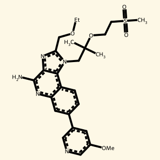 CCOCc1nc2c(N)nc3cc(-c4cncc(OC)c4)ccc3c2n1CC(C)(C)OCCS(C)(=O)=O